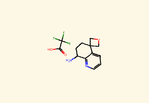 NC1CCC2(COC2)c2cccnc21.O=C(O)C(F)(F)F